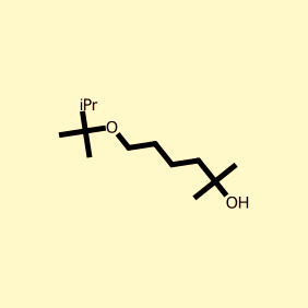 CC(C)C(C)(C)OCCCCC(C)(C)O